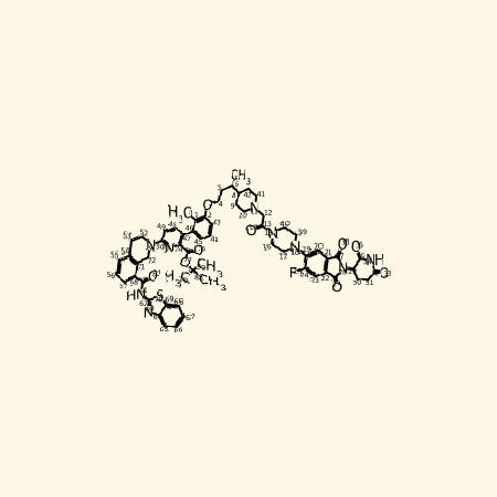 Cc1c(OCC[C@H](C)C2CCN(CC(=O)N3CCN(c4cc5c(cc4F)C(=O)N(C4CCC(=O)NC4=O)C5=O)CC3)CC2)cccc1-c1ccc(N2CCc3cccc(C(=O)Nc4nc5ccccc5s4)c3C2)nc1C(=O)OC(C)(C)C